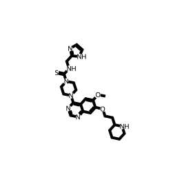 COc1cc2c(N3CCN(C(=S)NCc4ncc[nH]4)CC3)ncnc2cc1OCCC1CCCCN1